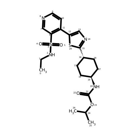 CCNS(=O)(=O)c1cnccc1-c1cnc([C@H]2CC[C@H](NC(=O)OC(C)C)CC2)s1